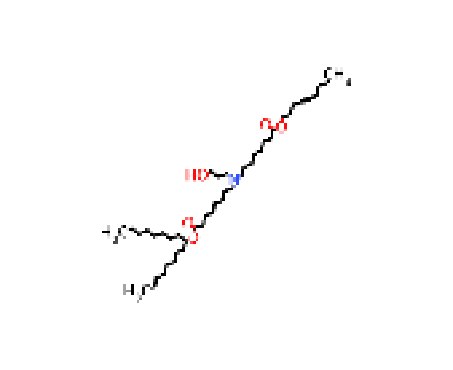 CCCCC#CCCCOC(=O)CCCCCCCN(CCCO)CCCCCCCC(=O)OC(CCCCCCCC)CCCCCCCC